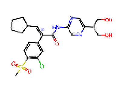 CS(=O)(=O)c1ccc(/C(=C\C2CCCC2)C(=O)Nc2cnc(C(CO)CO)cn2)cc1Cl